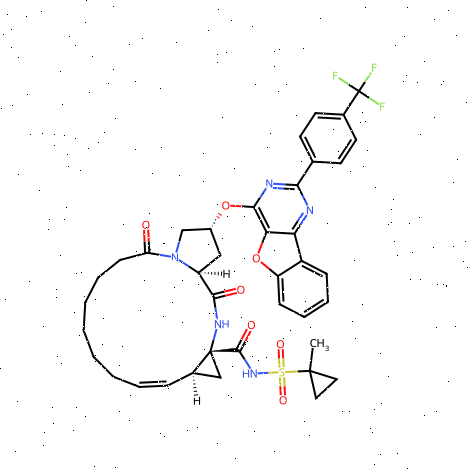 CC1(S(=O)(=O)NC(=O)[C@@]23C[C@H]2/C=C\CCCCCCC(=O)N2C[C@H](Oc4nc(-c5ccc(C(F)(F)F)cc5)nc5c4oc4ccccc45)C[C@H]2C(=O)N3)CC1